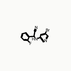 N#CC(Nc1cncc(Br)c1)c1ccccc1F